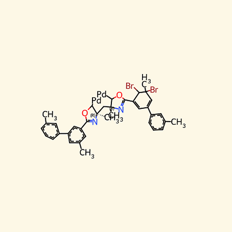 Cc1cccc(C2=CC(C)(Br)C(Br)C(C3=N[C@](C)(C[C@@]4(C)N=C(c5cc(C)cc(-c6cccc(C)c6)c5)O[CH]4[Pd])[CH]([Pd])O3)=C2)c1